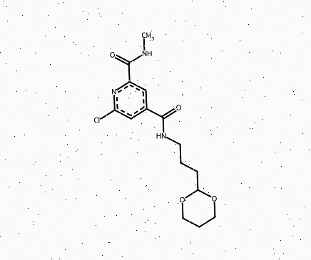 CNC(=O)c1cc(C(=O)NCCCC2OCCCO2)cc(Cl)n1